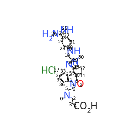 CN(CCC(=O)O)CCN(C(=O)c1ccc2c(c1)nc(CNc1ccc(C(=N)N)cc1)n2C)c1ccccc1.Cl